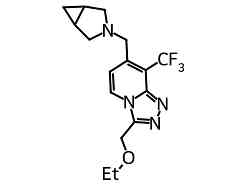 CCOCc1nnc2c(C(F)(F)F)c(CN3CC4CC4C3)ccn12